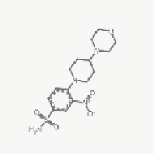 NS(=O)(=O)c1ccc(N2CCC(N3CCOCC3)CC2)c([N+](=O)[O-])c1